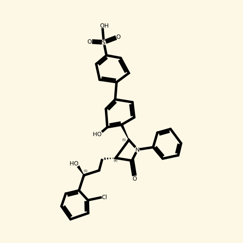 O=C1[C@H](CC[C@H](O)c2ccccc2Cl)[C@@H](c2ccc(-c3ccc(S(=O)(=O)O)cc3)cc2O)N1c1ccccc1